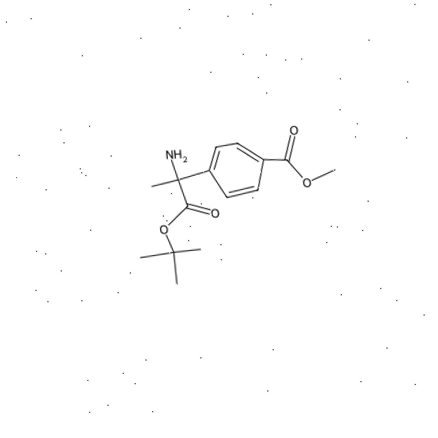 COC(=O)c1ccc(C(C)(N)C(=O)OC(C)(C)C)cc1